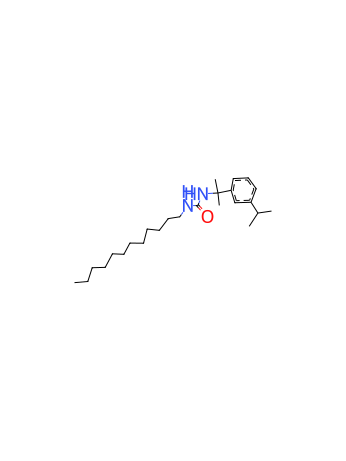 CCCCCCCCCCCCNC(=O)NC(C)(C)c1cccc(C(C)C)c1